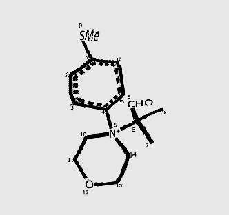 CSc1ccc([N+]2(C(C)(C)C=O)CCOCC2)cc1